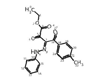 CCOC(=O)C(=O)C(=NNc1ccccc1)C(=O)c1ccc(C)cc1